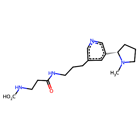 CN1CCC[C@H]1c1cncc(CCCNC(=O)CCNC(=O)O)c1